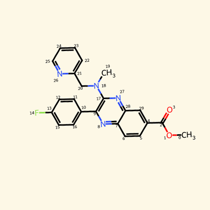 COC(=O)c1ccc2nc(-c3ccc(F)cc3)c(N(C)Cc3ccccn3)nc2c1